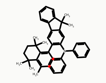 Cc1ccc(-c2cc3c(cc2N(c2ccccc2)c2ccccc2)C(C)(C)c2ccccc2-3)c2c1C(C)(C)CCC2(C)C